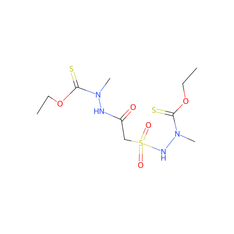 CCOC(=S)N(C)NC(=O)CS(=O)(=O)NN(C)C(=S)OCC